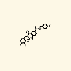 CN1c2ccc(C(=O)NCc3ccc(F)cc3)cc2C(=O)/C(=C/c2ccc(F)c(F)c2)[S+]1[O-]